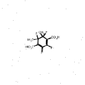 CC1(F)C(C(=O)O)=C(F)C(F)=C(C(=O)O)C1(C)F